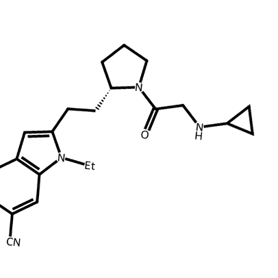 CCn1c(CC[C@@H]2CCCN2C(=O)CNC2CC2)cc2ccc(C#N)cc21